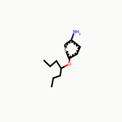 CCCC(CCC)Oc1ccc(N)cc1